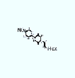 CCCCCCC=C[C@H]1CC[C@H]([C@H]2CC[C@H](C#N)CC2)CC1